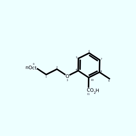 CCCCCCCCCCOc1cccc(C)c1C(=O)O